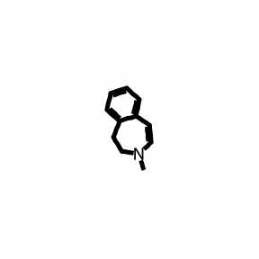 CN1C=Cc2ccccc2CC1